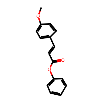 COc1ccc(C=CC(=O)Oc2ccccc2)cc1